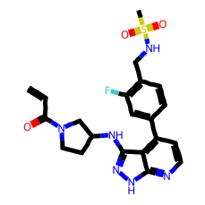 C=CC(=O)N1CCC(Nc2n[nH]c3nccc(-c4ccc(CNS(C)(=O)=O)c(F)c4)c23)C1